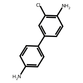 Nc1ccc(-c2ccc(N)c(Cl)c2)cc1